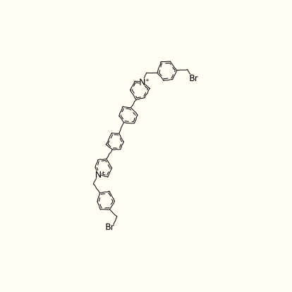 BrCc1ccc(C[n+]2ccc(-c3ccc(-c4ccc(-c5cc[n+](Cc6ccc(CBr)cc6)cc5)cc4)cc3)cc2)cc1